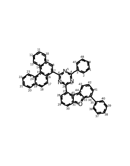 c1ccc(-c2nc(-c3cc4ccccc4c4c3ccc3ccccc34)nc(-c3cccc4oc5c(-c6ccccc6)cccc5c34)n2)cc1